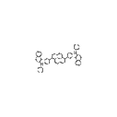 c1ccc(-n2c3ccc(-c4ccc5ccc6c(-c7ccc8c(c7)c7c9ccccc9ccc7n8-c7ccccc7)ccc7ccc4c5c76)cc3c3c4ccccc4ccc32)cc1